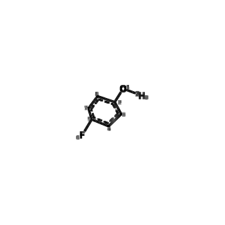 [2H]Oc1ccc(F)cc1